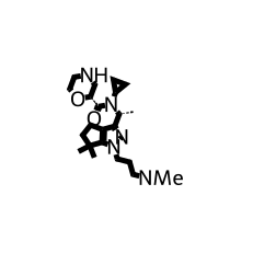 CNCCCn1nc([C@@H](C)N(C(=O)[C@H]2CNCCO2)C2CC2)c2c1C(C)(C)CC2